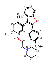 COc1ccc(-c2oc3ccccc3c2-c2cc(OCCN3CCCCC3)ccc2C=O)cc1.Cl